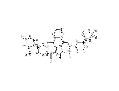 CCc1ccncc1-c1cc(C2=CCCN(C(=O)OC(C)(C)C)C2)c(F)c2[nH]c(C(=O)N3CCN(c4ncc(C)cc4OC)CC3)cc12